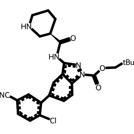 CC(C)(C)COC(=O)n1nc(NC(=O)[C@@H]2CCCNC2)c2cc(-c3cc(C#N)ccc3Cl)ccc21